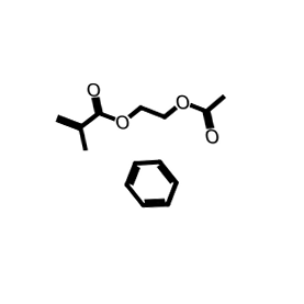 C=C(C)C(=O)OCCOC(C)=O.c1ccccc1